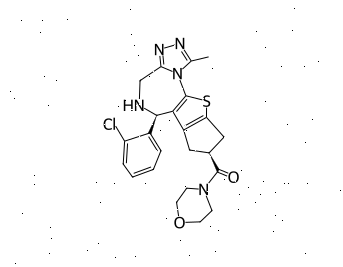 Cc1nnc2n1-c1sc3c(c1[C@@H](c1ccccc1Cl)NC2)C[C@H](C(=O)N1CCOCC1)C3